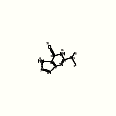 CN(C)c1nc2n[c][nH]c2c(=O)[nH]1